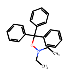 CCN(CC)OC(c1ccccc1)(c1ccccc1)c1ccccc1